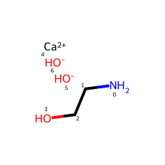 NCCO.[Ca+2].[OH-].[OH-]